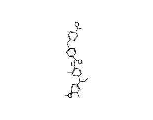 CCC(c1ccc(OC)c(C)c1)c1ccc(OC(=O)c2ccc(Cc3ccc(C(C)=O)cc3)cc2)c(C)c1